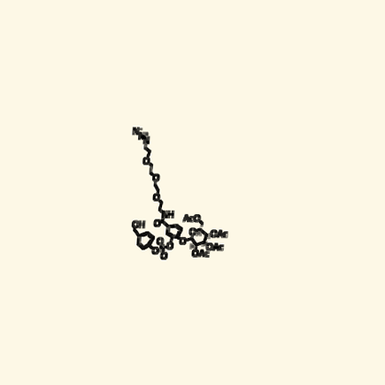 CC(=O)OC[C@H]1OC(Oc2ccc(C(=O)NCCOCCOCCOCCN=[N+]=[N-])cc2OS(=O)(=O)Oc2ccc(CO)cc2)[C@H](OC(C)=O)[C@@H](OC(C)=O)[C@H]1OC(C)=O